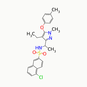 CCc1c(C(C)NS(=O)(=O)c2ccc3c(Cl)cccc3c2)nn(C)c1Oc1ccc(C)cc1